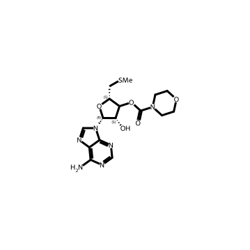 CSC[C@H]1O[C@@H](n2cnc3c(N)ncnc32)[C@@H](O)C1OC(=O)N1CCOCC1